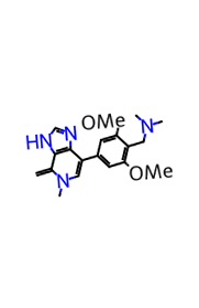 C=C1c2[nH]cnc2C(c2cc(OC)c(CN(C)C)c(OC)c2)=CN1C